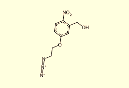 [N-]=[N+]=NCCOc1ccc([N+](=O)[O-])c(CO)c1